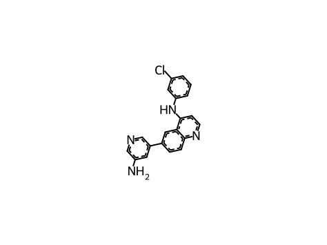 Nc1cncc(-c2ccc3nccc(Nc4cccc(Cl)c4)c3c2)c1